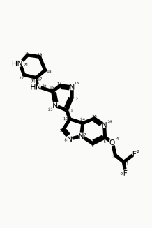 FC(F)COC1=CN2N=CC(c3cncc(N[C@@H]4CCCNC4)n3)C2C=N1